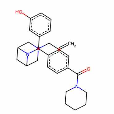 C=CCN1CC2CC(C1)N2C(c1ccc(C(=O)N2CCCCC2)cc1)c1cccc(O)c1